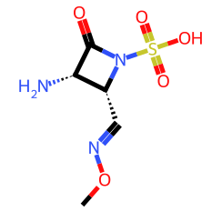 CON=C[C@@H]1[C@H](N)C(=O)N1S(=O)(=O)O